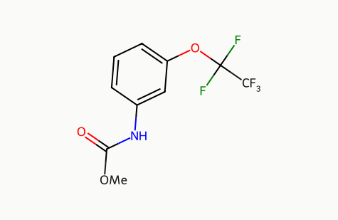 COC(=O)Nc1cccc(OC(F)(F)C(F)(F)F)c1